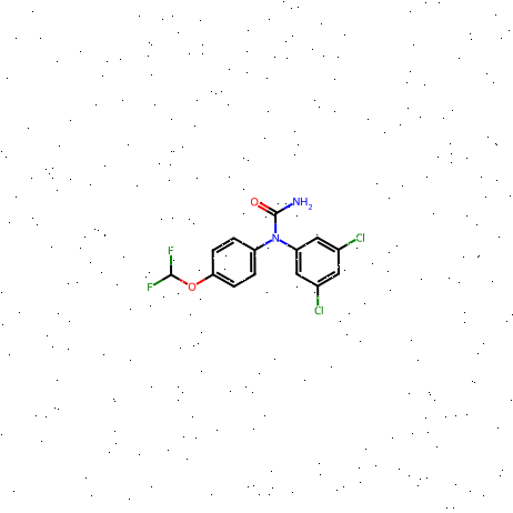 NC(=O)N(c1ccc(OC(F)F)cc1)c1cc(Cl)cc(Cl)c1